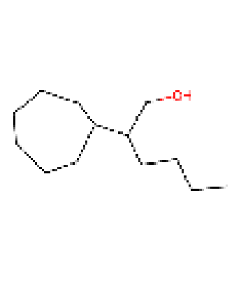 CCCCC(CO)C1CCCCCC1